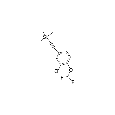 C[Si](C)(C)C#Cc1ccc(OC(F)F)c(Cl)c1